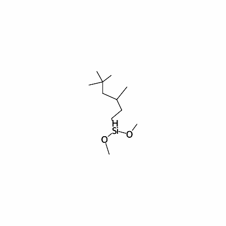 CO[SiH](CCC(C)CC(C)(C)C)OC